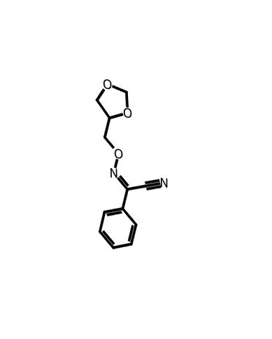 N#CC(=NOCC1COCO1)c1ccccc1